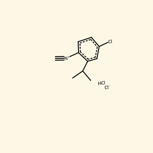 C#[N+]c1ccc(Cl)cc1C(C)C.Cl.[Cl-]